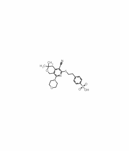 CC1(C)Cc2c(C#N)c(SCCc3ccc(S(=O)(=O)O)cc3)nc(N3CCOCC3)c2CO1